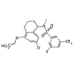 CN(C1CCCc2c(OCC(=O)O)cc(Cl)cc21)S(=O)(=O)c1cc(F)cc(C(F)(F)F)c1